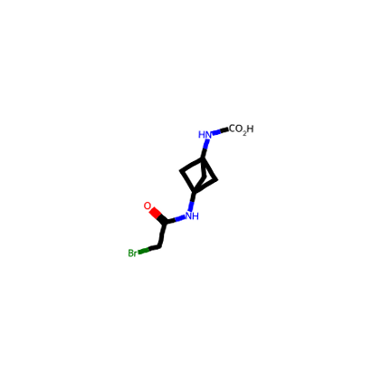 O=C(O)NC12CC(NC(=O)CBr)(C1)C2